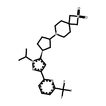 CC(C)n1nc(-c2cccc(C(F)(F)F)n2)cc1[C@H]1CCC(N2CCC3(CC2)CS(=O)(=O)C3)C1